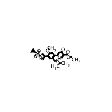 CCOC(=O)c1cn2c(cc1=O)-c1cc(OC)c(-c3cnn(S(=O)(=O)C4CC4)c3)cc1CN2C(C)C